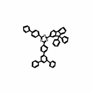 c1ccc(-c2ccc(-c3nc(-c4ccc(-c5cc(-c6ccccc6)cc(-c6ccccc6)c5)cc4)nc(-c4ccc5c(c4)C(c4ccccc4)(c4ccccc4)c4ccccc4-5)n3)cc2)cc1